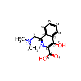 CN(C)Cc1nc(C(=O)O)c(O)c2ccccc12